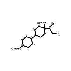 CCCCCC1CCC(C2CCC(CCCCC)(C(Br)CBr)CC2)CC1